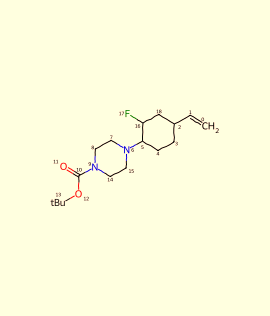 C=CC1CCC(N2CCN(C(=O)OC(C)(C)C)CC2)C(F)C1